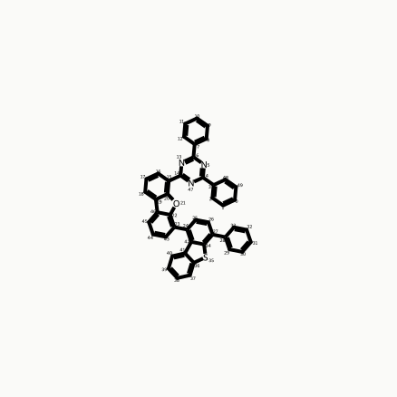 c1ccc(-c2nc(-c3ccccc3)nc(-c3cccc4c3oc3c(-c5ccc(-c6ccccc6)c6sc7ccccc7c56)cccc34)n2)cc1